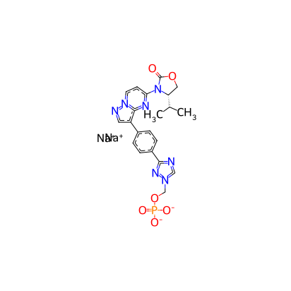 CC(C)[C@H]1COC(=O)N1c1ccn2ncc(-c3ccc(-c4ncn(COP(=O)([O-])[O-])n4)cc3)c2n1.[Na+].[Na+]